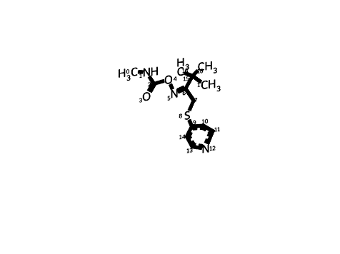 CNC(=O)ON=C(CSc1ccncc1)C(C)(C)C